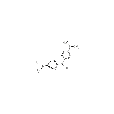 CN(C)c1ccc(N(C)c2ccc(N(C)C)cc2)cc1